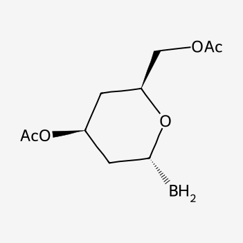 B[C@@H]1C[C@@H](OC(C)=O)C[C@@H](COC(C)=O)O1